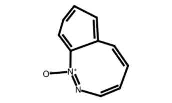 [O-][N+]1=NC=CC=Cc2ccccc21